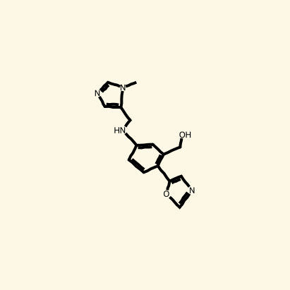 Cn1cncc1CNc1ccc(-c2cnco2)c(CO)c1